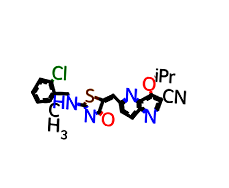 Cc1cccc(Cl)c1CNC1=NC(=O)/C(=C\c2ccc3ncc(C#N)c(OC(C)C)c3n2)S1